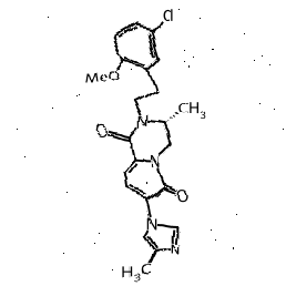 COc1ccc(Cl)cc1CCN1C(=O)c2ccc(-n3cnc(C)c3)c(=O)n2C[C@H]1C